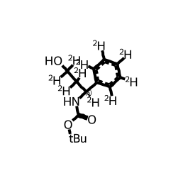 [2H]c1c([2H])c([2H])c([C@@]([2H])(NC(=O)OC(C)(C)C)C([2H])([2H])C([2H])([2H])O)c([2H])c1[2H]